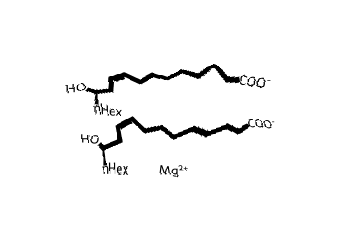 CCCCCC[C@@H](O)C/C=C\CCCCCCCC(=O)[O-].CCCCCC[C@@H](O)C/C=C\CCCCCCCC(=O)[O-].[Mg+2]